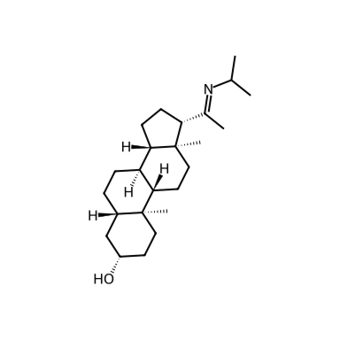 C/C(=N\C(C)C)[C@H]1CC[C@H]2[C@@H]3CC[C@H]4C[C@@H](O)CC[C@]4(C)[C@H]3CC[C@]12C